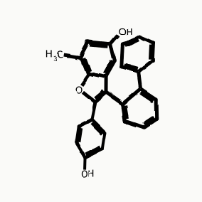 Cc1cc(O)cc2c(-c3ccccc3-c3ccccc3)c(-c3ccc(O)cc3)oc12